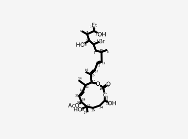 CCC(O)C(C)C(O)C(Br)CC(C)/C=C/C=C(\C)C1OC(=O)CC(O)CCC(C)(O)C(OC(C)=O)/C=C/C1C